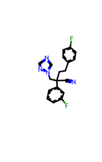 N#CC(CCc1ccc(F)cc1)(Cn1cncn1)c1cccc(F)c1